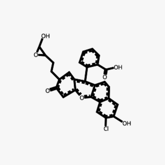 O=C(O)c1ccccc1-c1c2cc(CCC3OC3O)c(=O)cc-2oc2c1ccc1cc(O)c(Cl)cc12